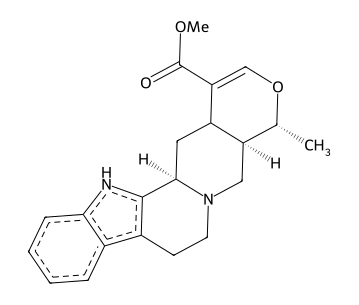 COC(=O)C1=CO[C@H](C)[C@H]2CN3CCc4c([nH]c5ccccc45)[C@H]3CC12